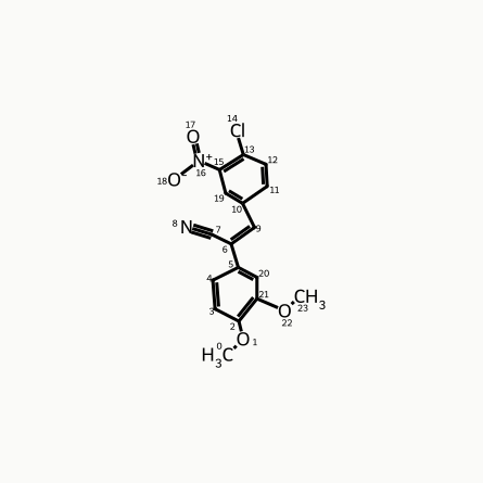 COc1ccc(C(C#N)=Cc2ccc(Cl)c([N+](=O)[O-])c2)cc1OC